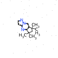 CC1(C)CC(C)(C)c2nc3ccnn3cc21